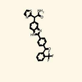 NC(=O)C(c1ccc2[nH]c(-c3ccc(C(=O)c4ccccc4C(F)(F)F)cc3)nc2c1)c1nccs1